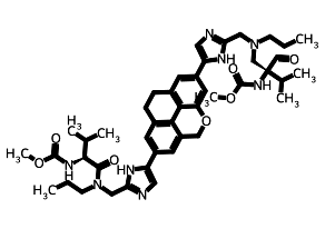 CCCN(Cc1ncc(-c2cc3c4c(c2)OCc2cc(-c5cnc(CN(CCC)C(=O)[C@@H](NC(=O)OC)C(C)C)[nH]5)cc(c2-4)CC3)[nH]1)C[C@](C=O)(NC(=O)OC)C(C)C